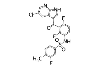 Cc1ccc(S(=O)(=O)Nc2ccc(F)c(C(=O)c3c[nH]c4ncc(Cl)cc34)c2F)cc1F